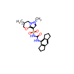 C[C@@H]1COc2c(S(=O)(=O)NC(=O)Nc3c4c(cc5c3CCC5)CCC4)c[n+](C)n2C1